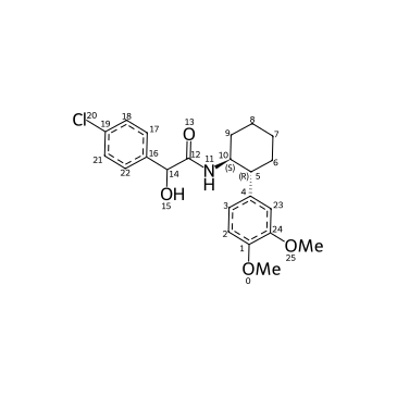 COc1ccc([C@H]2CCCC[C@@H]2NC(=O)C(O)c2ccc(Cl)cc2)cc1OC